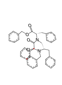 O=C(OCc1ccccc1)[C@H](Cc1ccccc1)N(C[C@H](Cc1ccccc1)N(Cc1ccccc1)Cc1ccccc1)C(=O)CCl